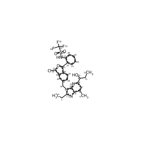 CCc1nc2c(C)cc(C(O)CC)nc2n1Cc1ccc2c(-c3ccccc3NS(=O)(=O)C(F)(F)F)oc(Cl)c2c1